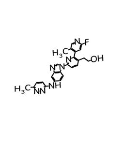 Cc1ccc(Nc2ccc3c(c2)ncn3-c2ccc(CCO)c(-c3cc(F)ncc3C)n2)nn1